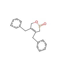 O=S1CC(Cc2ccccc2)=C(Cc2ccccc2)CO1